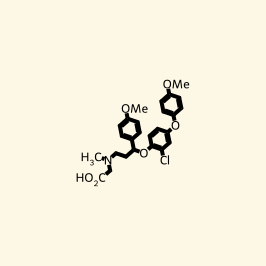 COc1ccc(Oc2ccc(OC(CCN(C)CC(=O)O)c3ccc(OC)cc3)c(Cl)c2)cc1